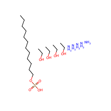 CCCCCCCCCCCCOS(=O)(=O)O.CCO.CCO.CCO.CCO.N.N.N.N.N